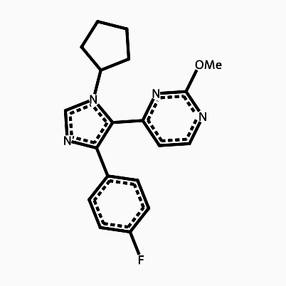 COc1nccc(-c2c(-c3ccc(F)cc3)ncn2C2CCCC2)n1